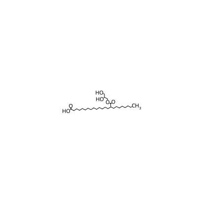 CCCCCCCCC(CCCCCCCCCCCCCC(=O)O)C(=O)OCC(O)CO